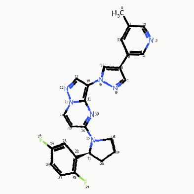 Cc1cncc(-c2cnn(-c3cnn4ccc(N5CCC[C@H]5c5cc(F)ccc5F)nc34)c2)c1